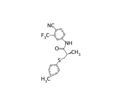 Cc1ccc(SC[C@H](C)C(=O)Nc2ccc(C#N)c(C(F)(F)F)c2)cc1